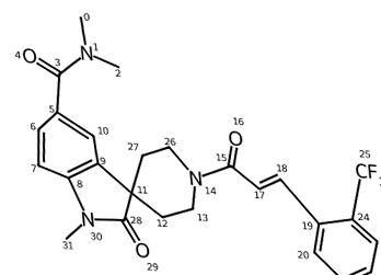 CN(C)C(=O)c1ccc2c(c1)C1(CCN(C(=O)/C=C/c3ccccc3C(F)(F)F)CC1)C(=O)N2C